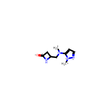 CN(CC1CC(=O)N1)c1ccnn1C